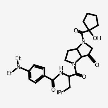 CCN(CC)c1ccc(C(=O)NC(CC(C)C)C(=O)N2CCC3C2C(=O)CN3C(=O)C2(O)CCCC2)cc1